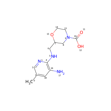 Cc1cnc(NCC2CN(C(=O)O)CCO2)c(N)c1